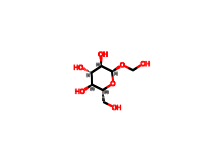 OCO[C@H]1O[C@H](CO)[C@@H](O)[C@H](O)[C@H]1O